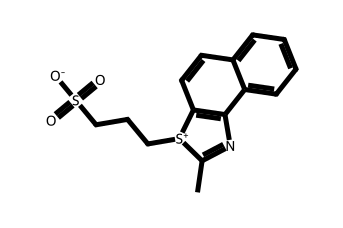 Cc1nc2c3ccccc3ccc2[s+]1CCCS(=O)(=O)[O-]